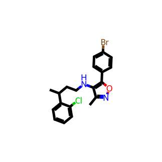 Cc1noc(-c2ccc(Br)cc2)c1NCCC(C)c1ccccc1Cl